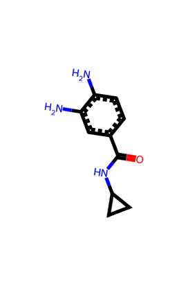 Nc1ccc(C(=O)NC2CC2)cc1N